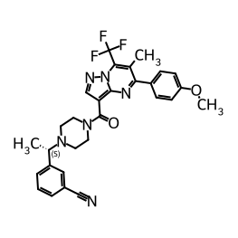 COc1ccc(-c2nc3c(C(=O)N4CCN([C@@H](C)c5cccc(C#N)c5)CC4)cnn3c(C(F)(F)F)c2C)cc1